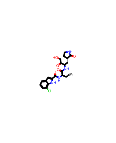 CC(C)CC(NC(=O)c1cc2cccc(Cl)c2[nH]1)C(=O)NC(C[C@@H]1CCNC1=O)C(=O)CO